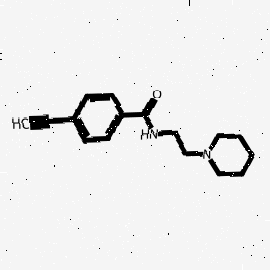 C#Cc1ccc(C(=O)NCCN2CCCCC2)cc1